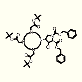 CC(C)(C)OC(=O)CN1CCN(CC(=O)OC(C)(C)C)CCN([C@@H]2CN(C(=O)OCc3ccccc3)[C@@H](C(=O)OCc3ccccc3)[C@H]2O)CCN(CC(=O)OC(C)(C)C)CC1